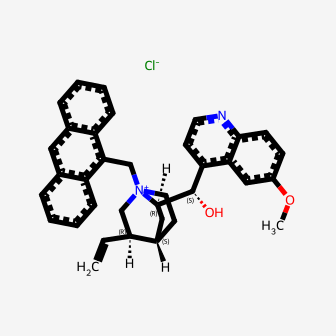 C=C[C@H]1C[N+]2(Cc3c4ccccc4cc4ccccc34)CC[C@H]1C[C@@H]2[C@@H](O)c1ccnc2ccc(OC)cc12.[Cl-]